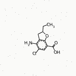 CCC1Cc2c(N)c(Cl)cc(C(=O)O)c2O1